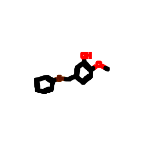 COc1ccc(CSc2ccccc2)cc1O